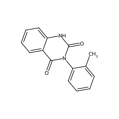 Cc1ccccc1-n1c(=O)[nH]c2ccccc2c1=O